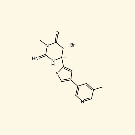 Cc1cncc(-c2csc([C@@]3(C)NC(=N)N(C)C(=O)[C@@H]3Br)c2)c1